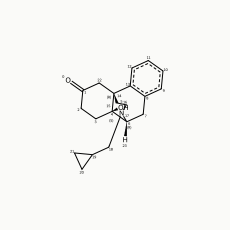 O=C1CC[C@@]2(O)[C@H]3Cc4ccccc4[C@@]2(CCN3CC2CC2)C1